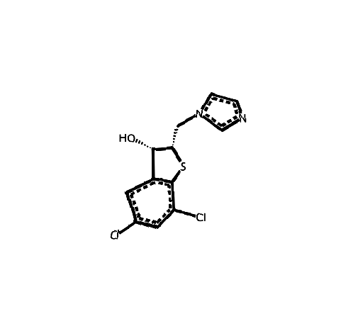 O[C@H]1c2cc(Cl)cc(Cl)c2S[C@H]1Cn1ccnc1